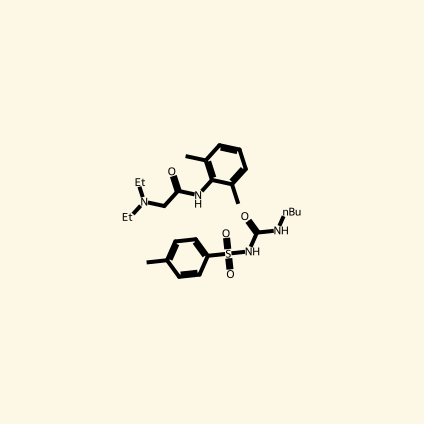 CCCCNC(=O)NS(=O)(=O)c1ccc(C)cc1.CCN(CC)CC(=O)Nc1c(C)cccc1C